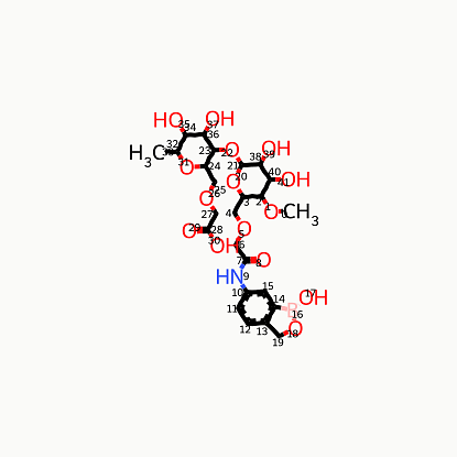 COC1C(COCC(=O)Nc2ccc3c(c2)B(O)OC3)OC(OC2C(COCC(=O)O)OC(C)C(O)C2O)C(O)C1O